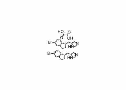 Brc1ccc2c(c1)CCC2=Cc1cnc[nH]1.Brc1ccc2c(c1)CCC2=Cc1cnc[nH]1.O=C(O)C(=O)O